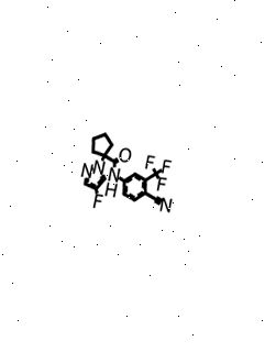 N#Cc1ccc(NC(=O)C2(n3cc(F)cn3)CCCC2)cc1C(F)(F)F